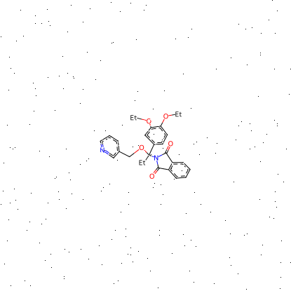 CCOc1ccc(C(CC)(OCc2cccnc2)N2C(=O)c3ccccc3C2=O)cc1OCC